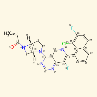 C=CC(=O)N1C[C@@H]2[C@H]1CCN2c1ncnc2c(F)c(-c3cccc4ccc(F)c(Cl)c34)ncc12